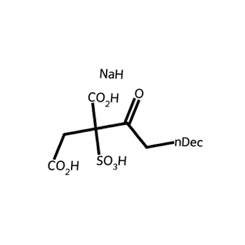 CCCCCCCCCCCC(=O)C(CC(=O)O)(C(=O)O)S(=O)(=O)O.[NaH]